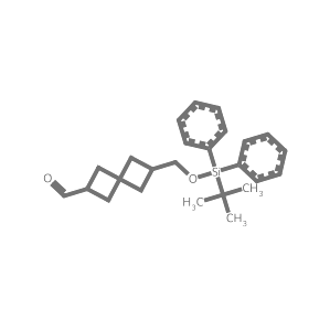 CC(C)(C)[Si](OCC1CC2(CC(C=O)C2)C1)(c1ccccc1)c1ccccc1